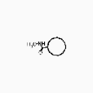 CNC(=O)C1CCCCCCCCCC1